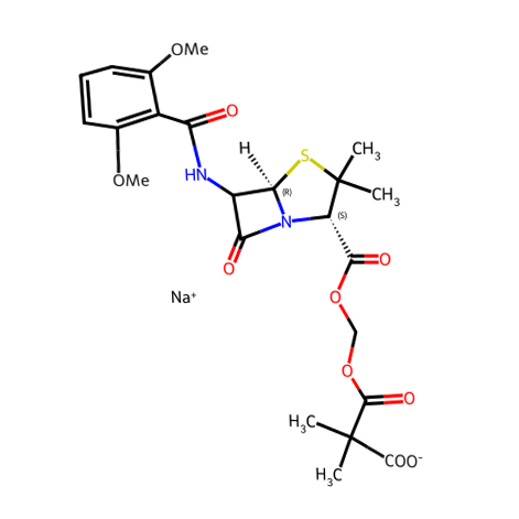 COc1cccc(OC)c1C(=O)NC1C(=O)N2[C@@H]1SC(C)(C)[C@@H]2C(=O)OCOC(=O)C(C)(C)C(=O)[O-].[Na+]